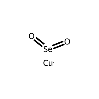 O=[Se]=O.[Cu]